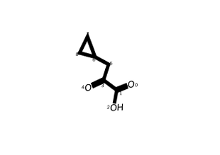 O=C(O)C(=O)CC1CC1